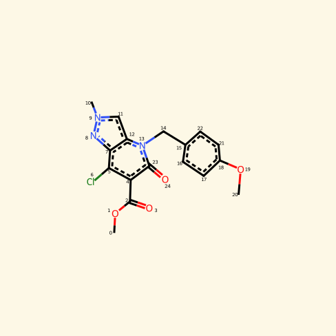 COC(=O)c1c(Cl)c2nn(C)cc2n(Cc2ccc(OC)cc2)c1=O